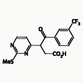 CSc1nccc(C(CC(=O)O)C(=O)c2cccc(C(F)(F)F)c2)n1